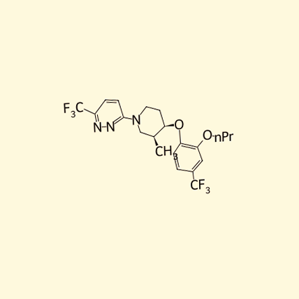 CCCOc1cc(C(F)(F)F)ccc1O[C@@H]1CCN(c2ccc(C(F)(F)F)nn2)C[C@@H]1C